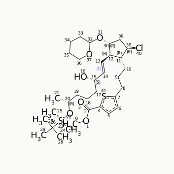 COC(=O)c1ccc(CCC[C@@H]2[C@@H](/C=C/[C@@H](O)CCC[C@@H](C)O[Si](C)(C)C(C)(C)C)[C@H](OC3CCCCO3)C[C@H]2Cl)s1